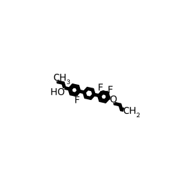 C=CCCOc1ccc(C2CCC(c3ccc(C(O)CCC)cc3F)CC2)c(F)c1F